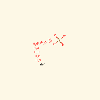 O.O.O.O.O.O.O.O.O=S(=O)([O-])[O-].[Yb+2]